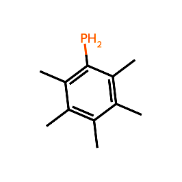 Cc1c(C)c(C)c(P)c(C)c1C